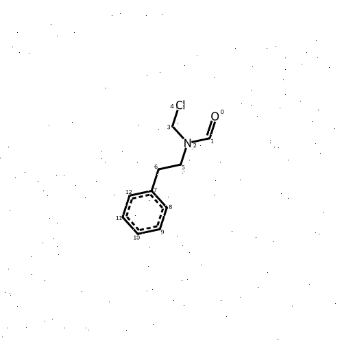 O=CN(CCl)CCc1ccccc1